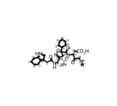 CC(C)[C@H](NC(=O)Cc1c[nH]c2ccccc12)C1=NOC(C(=O)N(C)[C@@H](CC(=O)O)C(=O)C=[N+]=[N-])(c2ccccc2)C1